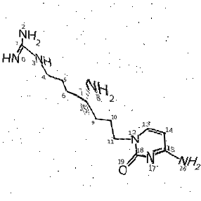 N=C(N)NCCC[C@H](N)CCCn1ccc(N)nc1=O